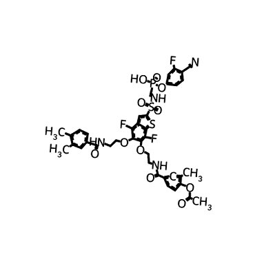 CC(=O)Oc1ccc(C(=O)NCCOc2c(OCCNC(=O)c3ccc(C)c(C)c3)c(F)c3cc(S(=O)(=O)NCP(=O)(O)Oc4ccc(C#N)c(F)c4)sc3c2F)cc1C